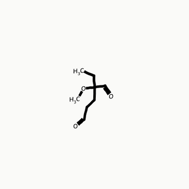 CCC(C=O)(CCC=O)OC